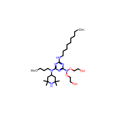 CCCCCCCCCCCCCCCCCCNc1nc(N(OCCO)OCCO)nc(N(CCCOC)C2CC(C)(C)NC(C)(C)C2)n1